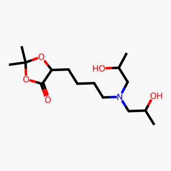 CC(O)CN(CCCCC1OC(C)(C)OC1=O)CC(C)O